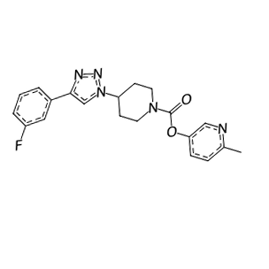 Cc1ccc(OC(=O)N2CCC(n3cc(-c4cccc(F)c4)nn3)CC2)cn1